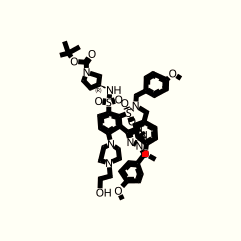 COc1ccc(CN(Cc2ccc(OC)cc2)S(=O)(=O)c2c(S(=O)(=O)N[C@@H]3CCN(C(=O)OC(C)(C)C)C3)ccc(N3CCN(CCO)CC3)c2-c2nnn(Cc3ccc(OC)cc3)n2)cc1